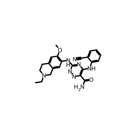 CCN1CCc2cc(OC)c(Nc3nnc(C(N)=O)c(Nc4ccccc4C#N)n3)cc2C1